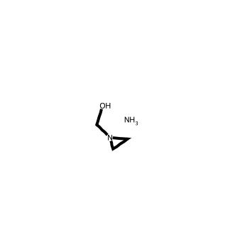 N.OCN1CC1